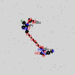 Cc1ncsc1-c1ccc(CNC(=O)[C@@H]2C[C@@H](O)CN2C(=O)[C@@H](NC(=O)COCCOCCOCCOCCOCCOc2ccc(NC(=O)c3c(-c4ccccc4)c(-c4ccc(F)cc4)n(CC[C@@H]4C[C@H](CC(=O)OC(C)(C)C)OC(C)(C)O4)c3C(C)C)cc2)C(C)(C)C)cc1